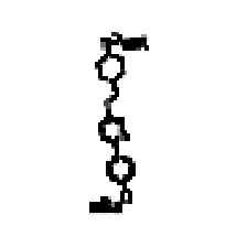 CCCCCC1CCC(CCc2ccc(-c3ccc(OCCCC)cc3)nc2)CC1